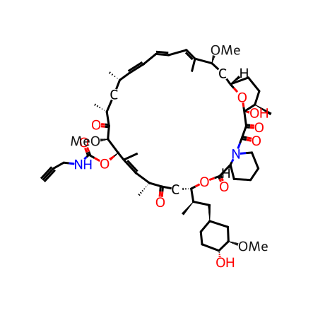 C#CCNC(=O)O[C@@H]1/C(C)=C/[C@@H](C)C(=O)C[C@@H]([C@H](C)C[C@@H]2CC[C@@H](O)[C@H](OC)C2)OC(=O)[C@@H]2CCCCN2C(=O)C(=O)[C@]2(O)O[C@@H](CC[C@H]2C)C[C@H](OC)/C(C)=C/C=C/C=C/[C@@H](C)C[C@@H](C)C(=O)[C@@H]1OC